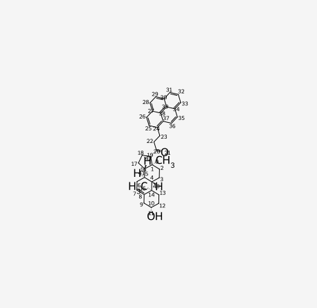 C[C@]12CC[C@H]3[C@@H](CC=C4C[C@@H](O)CC[C@@]43C)[C@@H]1CC[C@@H]2C(=O)CCc1ccc2ccc3cccc4ccc1c2c34